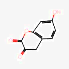 O=C1Cc2ccc(O)cc2OC1=O